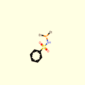 CCP(CC)NS(=O)(=O)c1ccccc1